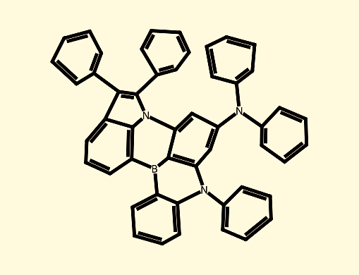 c1ccc(-c2c(-c3ccccc3)n3c4c(cccc24)B2c4ccccc4N(c4ccccc4)c4cc(N(c5ccccc5)c5ccccc5)cc-3c42)cc1